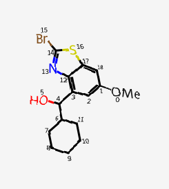 COc1cc(C(O)C2CCCCC2)c2nc(Br)sc2c1